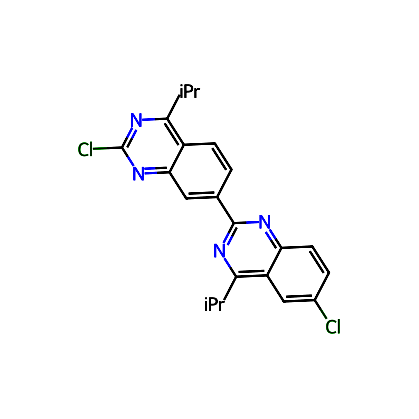 CC(C)c1nc(Cl)nc2cc(-c3nc(C(C)C)c4cc(Cl)ccc4n3)ccc12